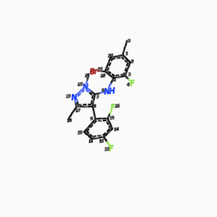 Cc1cc(F)c(Nc2c(-c3ccc(F)cc3F)c(C)nn2C)c(Br)c1